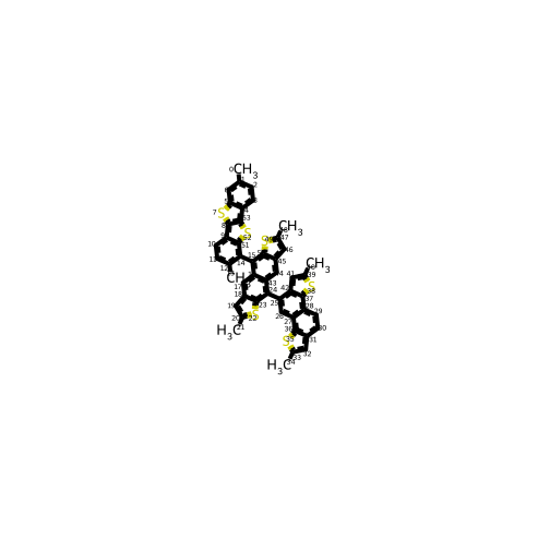 Cc1ccc2c(c1)sc1c3ccc(C)c(-c4c5cc6cc(C)sc6c(-c6cc7c(ccc8cc(C)sc87)c7sc(C)cc67)c5cc5cc(C)sc45)c3sc21